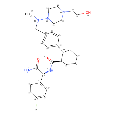 NC(=O)[C@@H](NC(=O)[C@@H]1CCCC[C@H]1c1ccc(CN(C(=O)O)N2CCN(CCO)CC2)cc1)c1ccc(F)cc1